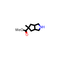 COC(=O)C1(C)CC2CNCC2C1